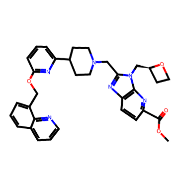 COC(=O)c1ccc2nc(CN3CCC(c4cccc(OCc5cccc6cccnc56)n4)CC3)n(C[C@@H]3CCO3)c2n1